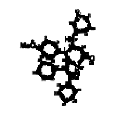 COc1ccc(-n2c(Nc3cccnc3)cc(=O)n3nc(-c4ccccc4)c(-c4ccccc4)c23)cc1